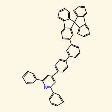 c1ccc(-c2cc(-c3ccc(-c4cccc(-c5ccc6c(c5)C5(c7ccccc7-c7ccccc75)c5ccccc5-6)c4)cc3)cc(-c3ccccc3)n2)cc1